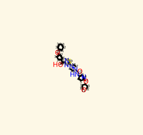 O=C(Nc1ccc(OC2CCOCC2)nc1)N1CCN(c2nc(C(O)c3ccc(Oc4ccccc4)cc3)ns2)CC1